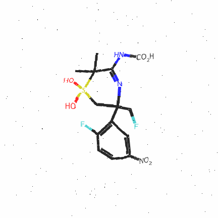 CC1(C)C(NC(=O)O)=NC(CF)(c2cc([N+](=O)[O-])ccc2F)CS1(O)O